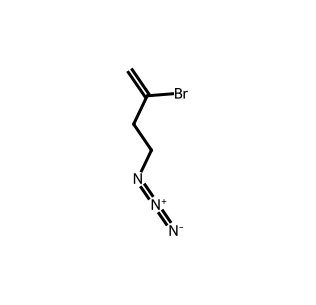 C=C(Br)CCN=[N+]=[N-]